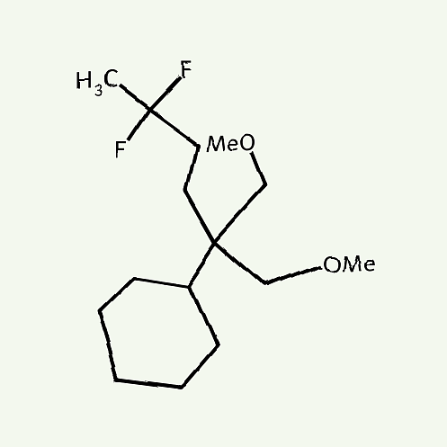 COCC(CCC(C)(F)F)(COC)C1CCCCC1